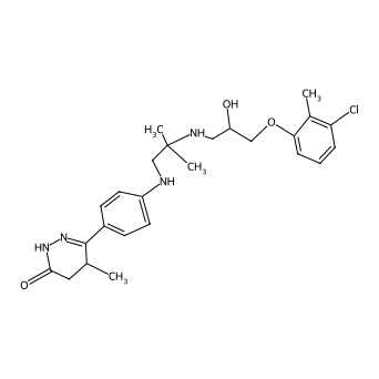 Cc1c(Cl)cccc1OCC(O)CNC(C)(C)CNc1ccc(C2=NNC(=O)CC2C)cc1